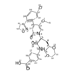 COc1cn(C(C[C@@H]2COCCO2)C(=O)Nc2ccc(C(=O)O)cc2)c(=O)cc1-c1cc(Cl)ccc1C1=NOCC1